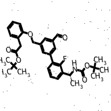 C[C@@H](NC(=O)OC(C)(C)C)c1cccc(-c2cc(C=O)cc(COc3ccccc3CC(=O)OC(C)(C)C)c2)c1F